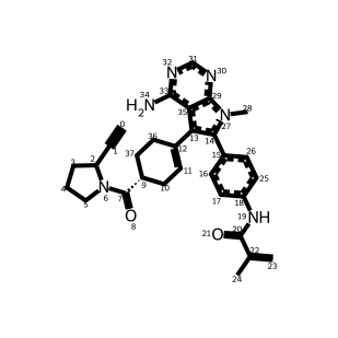 C#CC1CCCN1C(=O)[C@H]1CC=C(c2c(-c3ccc(NC(=O)C(=C)C)cc3)n(C)c3ncnc(N)c23)CC1